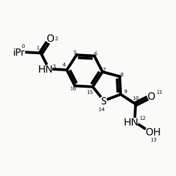 CC(C)C(=O)Nc1ccc2cc(C(=O)NO)sc2c1